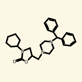 O=C1OC(CN2CCN(C(c3ccccc3)c3ccccc3)CC2)CN1C1CCCCC1